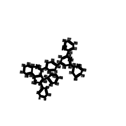 c1ccc(-c2sc3c(c(-c4ccc(-c5cc(-c6ccccn6)nc(-c6ccccn6)c5)cc4)nc4ccccc43)c2-c2ccccc2)cc1